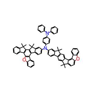 CC1(C)c2cc(N(c3ccc(N(c4ccccc4)c4ccccc4)cc3)c3ccc4c(c3)C(C)(C)c3c5c(c6oc7ccccc7c6c3-4)-c3ccccc3C5(C)C)ccc2-c2cc3c(cc21)-c1c(ccc2oc4ccccc4c12)C3(C)C